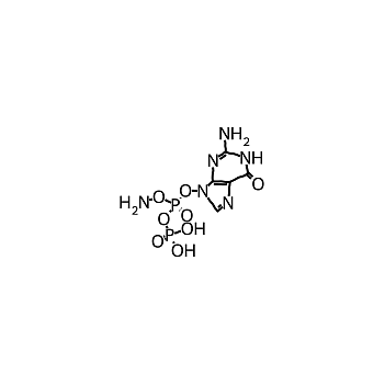 NOP(=O)(On1cnc2c(=O)[nH]c(N)nc21)OP(=O)(O)O